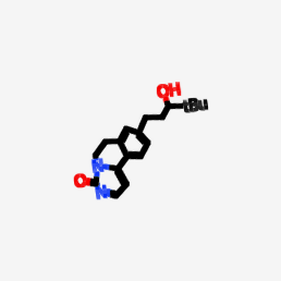 CC(C)(C)C(O)CCc1ccc2c(c1)CCn1c-2ccnc1=O